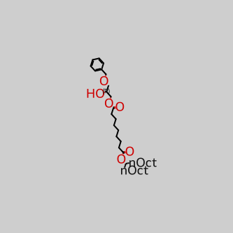 CCCCCCCCC(CCCCCCCC)OC(=O)CCCCCCCC(=O)OC[C@H](O)COCc1ccccc1